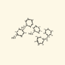 Oc1ccccc1.Oc1ccccc1.Oc1ccccc1.c1ccc(Oc2ccccc2)cc1